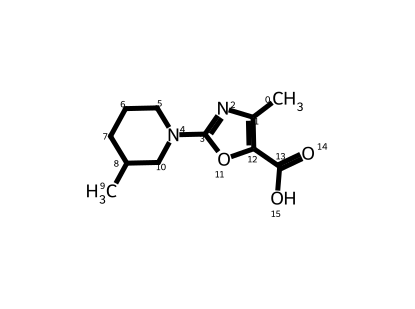 Cc1nc(N2CCCC(C)C2)oc1C(=O)O